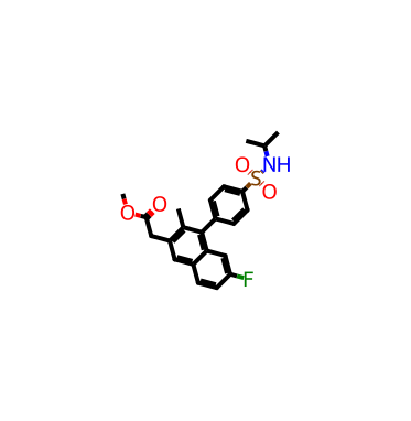 COC(=O)Cc1cc2ccc(F)cc2c(-c2ccc(S(=O)(=O)NC(C)C)cc2)c1C